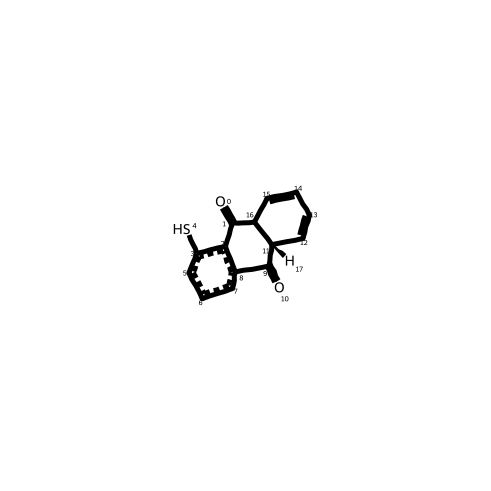 O=C1c2c(S)cccc2C(=O)[C@H]2C=CC=CC12